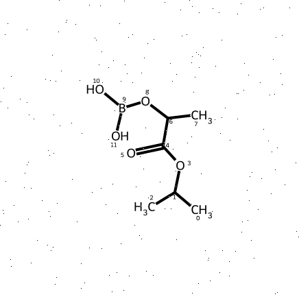 CC(C)OC(=O)C(C)OB(O)O